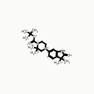 CC(C)(C)OC(=O)N1CCN(c2ccc3c(c2)NC(=O)C3(C)C)CC1(C)C